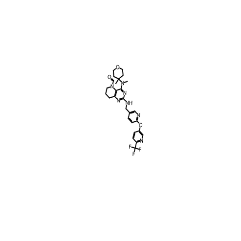 CN(c1nc(NCc2ccc(Oc3ccc(C(F)(F)F)nc3)nc2)nc2c1N(C=O)CCC2)C1(C)CCOCC1